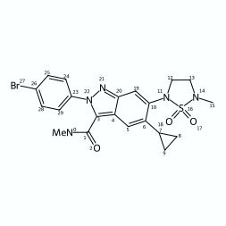 CNC(=O)c1c2cc(C3CC3)c(N3CCN(C)S3(=O)=O)cc2nn1-c1ccc(Br)cc1